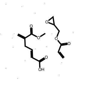 C=C(CC=CC(=O)O)C(=O)OC.C=CC(=O)OCC1CO1